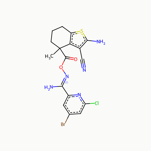 CC1(C(=O)O/N=C(\N)c2cc(Br)cc(Cl)n2)CCCc2sc(N)c(C#N)c21